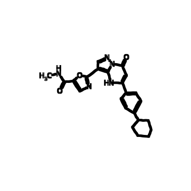 CNC(=O)c1cnc(-c2cnn3c(=O)cc(-c4ccc(C5CCCCC5)cc4)[nH]c23)o1